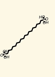 O=P(O)(O)CCCCCCCCCCCCCCCCCCP(=O)(O)O